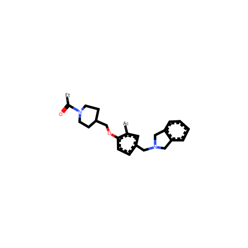 CCC(=O)N1CCC(COc2ccc(CN3Cc4ccccc4C3)cc2C(C)=O)CC1